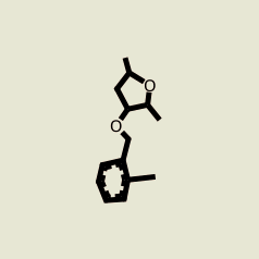 Cc1ccccc1COC1CC(C)OC1C